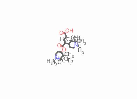 CN1CCC(OC(=O)C(CCC(=O)O)C2CCN(C)C(C)(C)C2(C)C)C(C)(C)C1(C)C